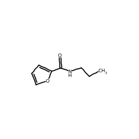 CCCNC(=O)c1cc[c]o1